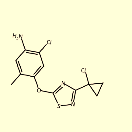 Cc1cc(N)c(Cl)cc1Oc1nc(C2(Cl)CC2)ns1